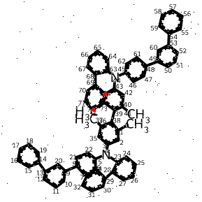 Cc1cc(N(c2ccc(-c3cccc(-c4ccccc4)c3)cc2)c2ccccc2-c2ccccc2)cc(C)c1-c1c(C)cc(N(c2ccc(-c3cccc(-c4ccccc4)c3)cc2)c2ccccc2-c2ccccc2)cc1C